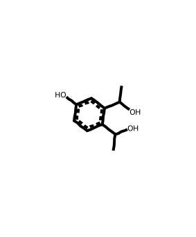 CC(O)c1ccc(O)cc1C(C)O